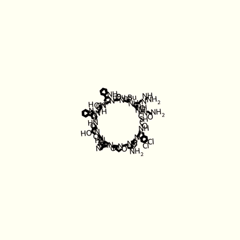 CCCC[C@H]1C(=O)N(C)[C@@H](CCCC)C(=O)N[C@@H](CCCNC(=N)N)C(=O)N[C@H](C(=O)NCC(N)=O)CSCC(=O)N[C@@H](Cc2ccc(Cl)c(Cl)c2)C(=O)N(C)[C@@H](C)C(=O)N[C@@H](CC(N)=O)C(=O)N2CCC[C@H]2C(=O)N[C@@H](Cc2cnc[nH]2)C(=O)N[C@@H](CC(C)C)C(=O)N2C[C@H](O)C[C@H]2C(=O)N[C@@H](Cc2c[nH]c3ccccc23)C(=O)N[C@@H](CO)C(=O)N[C@@H](Cc2c[nH]c3ccccc23)C(=O)N1C